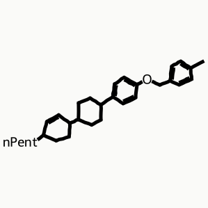 CCCCCC1C=CC(C2CCC(c3ccc(OCc4ccc(C)cc4)cc3)CC2)CC1